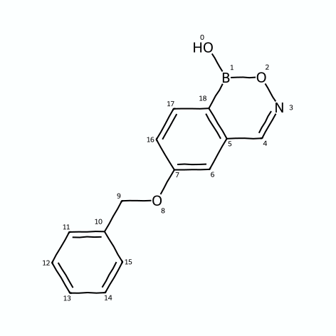 OB1ON=Cc2cc(OCc3ccccc3)ccc21